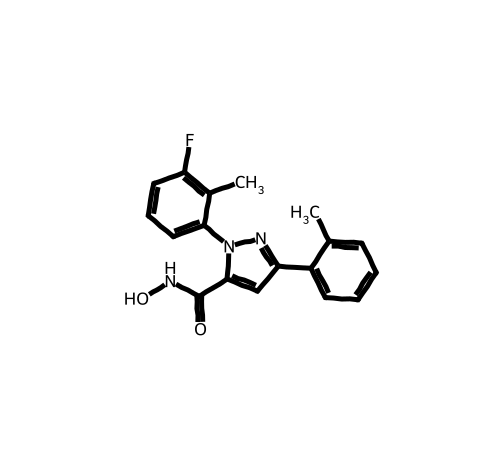 Cc1ccccc1-c1cc(C(=O)NO)n(-c2cccc(F)c2C)n1